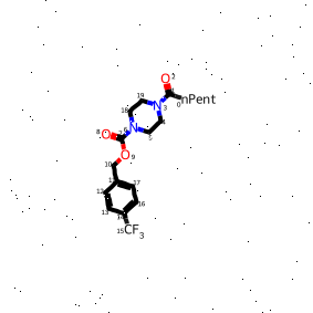 [CH2]CCCCC(=O)N1CCN(C(=O)OCc2ccc(C(F)(F)F)cc2)CC1